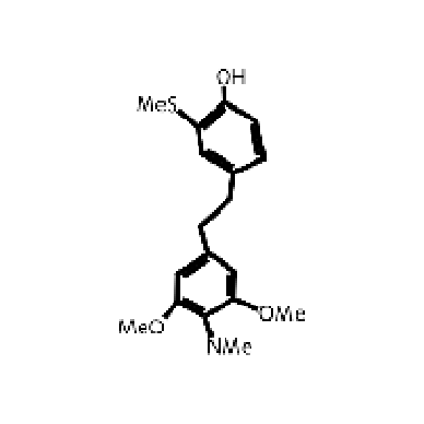 CNc1c(OC)cc(CCc2ccc(O)c(SC)c2)cc1OC